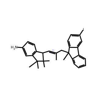 C/C(=C\C1c2ccc(N)cc2C(C)(C)C1(C)C)CC1(C)c2ccccc2-c2cc(I)ccc21